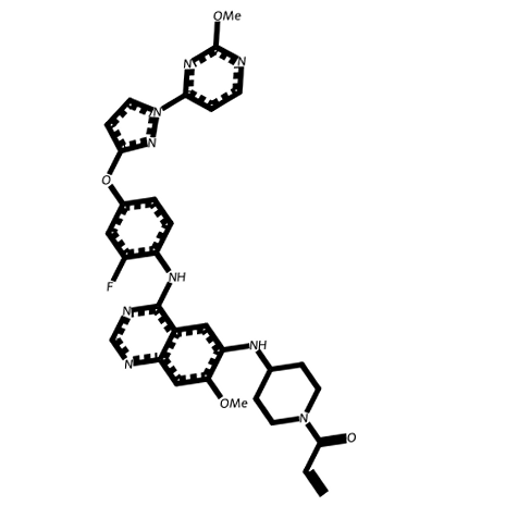 C=CC(=O)N1CCC(Nc2cc3c(Nc4ccc(Oc5ccn(-c6ccnc(OC)n6)n5)cc4F)ncnc3cc2OC)CC1